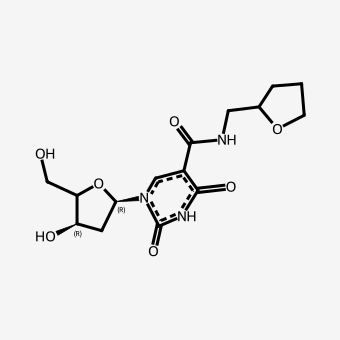 O=C(NCC1CCCO1)c1cn([C@H]2C[C@@H](O)C(CO)O2)c(=O)[nH]c1=O